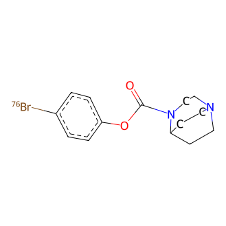 O=C(Oc1ccc([76Br])cc1)N1CCN2CCC1CC2